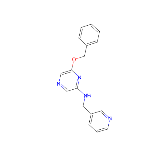 c1ccc(COc2cncc(NCc3cccnc3)n2)cc1